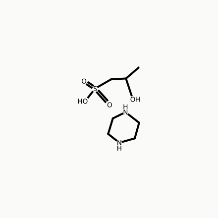 C1CNCCN1.CC(O)CS(=O)(=O)O